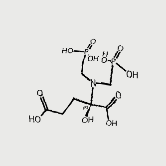 O=C(O)CC[C@@](O)(C(=O)O)N(CP(=O)(O)O)CP(=O)(O)O